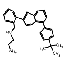 CC(C)(C)c1ccc(-c2cccc3cc(-c4ccccc4CNCCN)ccc23)cc1